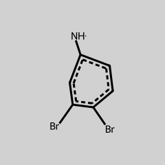 [NH]c1ccc(Br)c(Br)c1